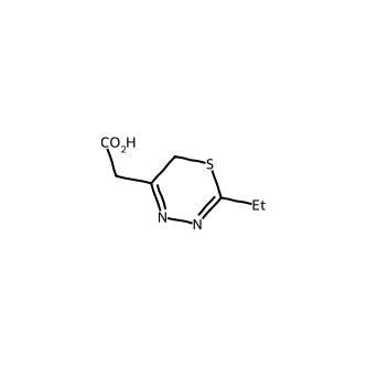 CCC1=NN=C(CC(=O)O)CS1